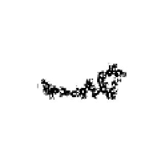 COc1cc(-c2cn(C)c(=O)c3c2CC(N2CCC2COc2cc(-c4cn(C)c(=O)c5cnc(N6CCC6)cc45)cc(OC)c2CN2CCC4(CCCN(c5ccc6c(c5)n(C)c(=O)n6C5CCC(=O)NC5=O)C4)CC2)N=C3)cc(OC)c1CN1CCC(N2CC3(CCN(c4ccc5c(c4)n(C)c(=O)n5C4CCC(=O)NC4=O)CC3)C2)CC1